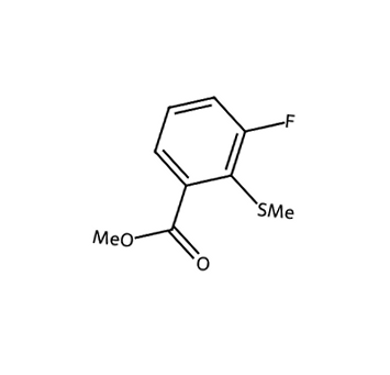 COC(=O)c1cccc(F)c1SC